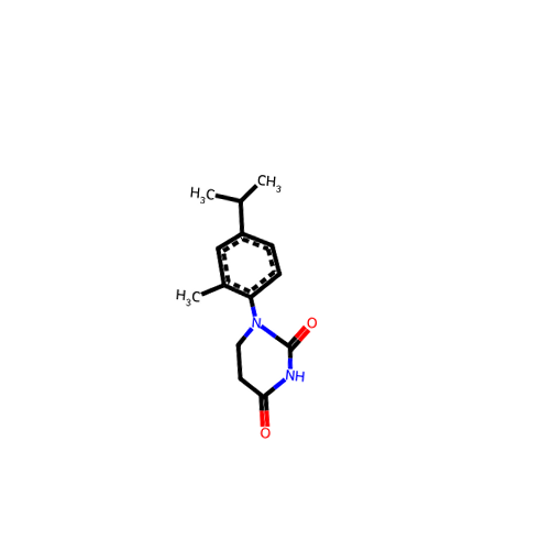 Cc1cc(C(C)C)ccc1N1CCC(=O)NC1=O